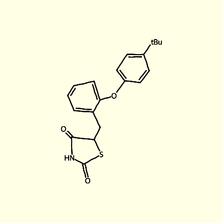 CC(C)(C)c1ccc(Oc2ccccc2CC2SC(=O)NC2=O)cc1